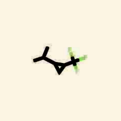 CC(C)C1CC1C(F)(F)F